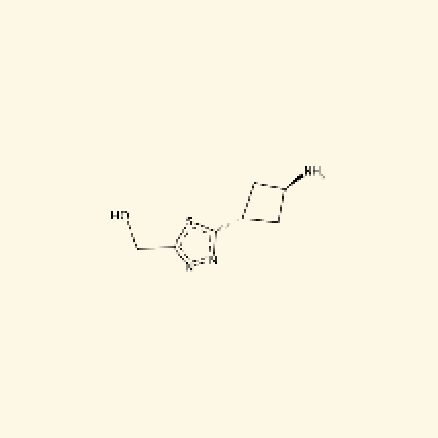 N[C@H]1C[C@H](c2nnc(CO)s2)C1